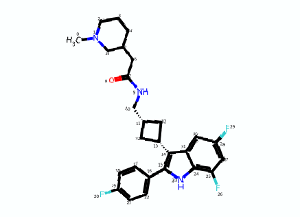 CN1CCCC(CC(=O)NC[C@H]2C[C@@H](c3c(-c4ccc(F)cc4)[nH]c4c(F)cc(F)cc43)C2)C1